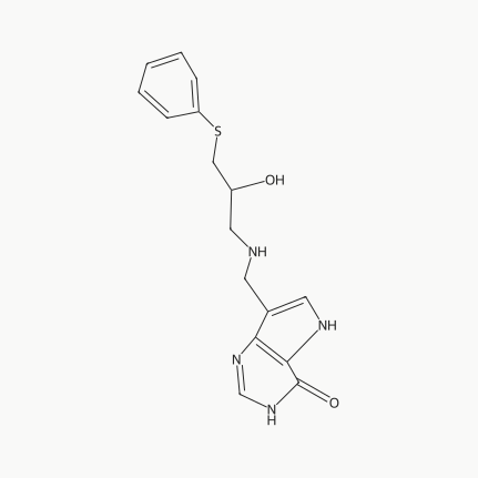 O=c1[nH]cnc2c(CNCC(O)CSc3ccccc3)c[nH]c12